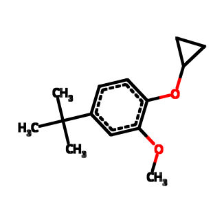 COc1cc(C(C)(C)C)ccc1OC1CC1